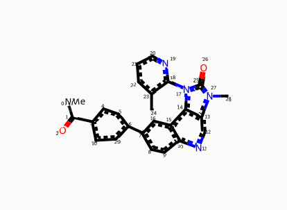 CNC(=O)c1ccc(-c2ccc3ncc4c(c3c2)n(-c2ncccc2C)c(=O)n4C)cc1